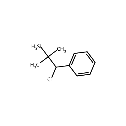 CC(C)([SiH3])C(Cl)c1ccccc1